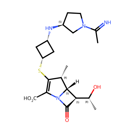 CC(=N)N1CC[C@H](N[C@H]2C[C@@H](SC3=C(C(=O)O)N4C(=O)[C@H]([C@@H](C)O)[C@H]4[C@H]3C)C2)C1